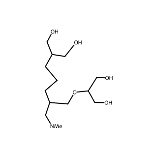 CNCC(CCCC(CO)CO)COC(CO)CO